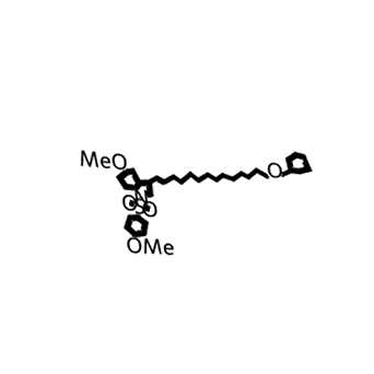 COc1ccc(S(=O)(=O)n2cc(C=CCCCCCCCCCCCCOCc3ccccc3)c3cc(OC)ccc32)cc1